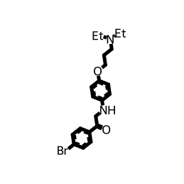 CCN(CC)CCCOc1ccc(NCC(=O)c2ccc(Br)cc2)cc1